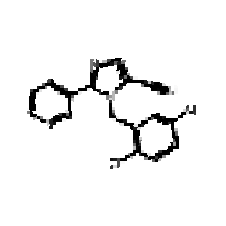 N#Cc1cnc(-c2cccnc2)n1Cc1cc(Cl)ccc1Cl